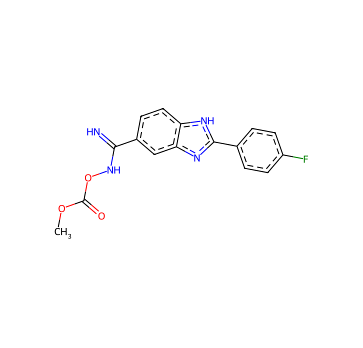 COC(=O)ONC(=N)c1ccc2[nH]c(-c3ccc(F)cc3)nc2c1